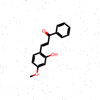 COc1ccc(C=CC(=O)c2ccccc2)c(O)c1